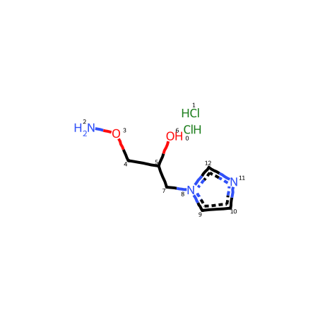 Cl.Cl.NOCC(O)Cn1ccnc1